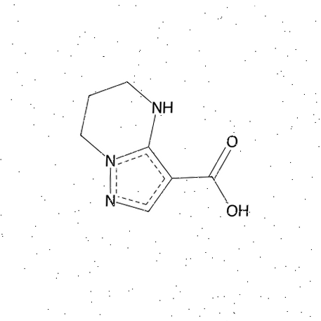 O=C(O)c1cnn2c1NCCC2